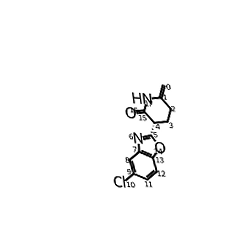 C=C1CC[C@H](c2nc3cc(Cl)ccc3o2)C(=O)N1